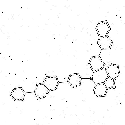 c1ccc(-c2ccc3cc(-c4ccc(N(c5ccc(-c6ccc7ccccc7c6)cc5)c5cccc6oc7ccccc7c56)cc4)ccc3c2)cc1